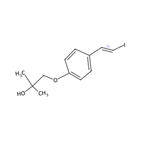 CC(C)(O)COc1ccc(/C=C/I)cc1